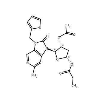 CCC(=O)O[C@H]1C[C@@H](OC(C)=O)[C@H](n2c(=O)n(Cc3cccs3)c3cnc(N)nc32)O1